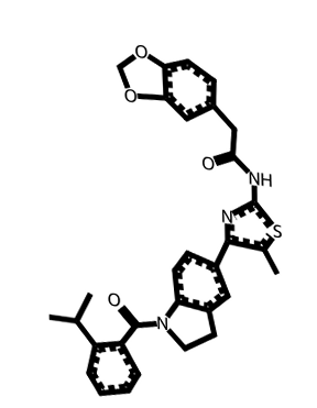 Cc1sc(NC(=O)Cc2ccc3c(c2)OCO3)nc1-c1ccc2c(c1)CCN2C(=O)c1ccccc1C(C)C